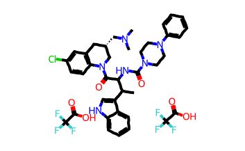 CC(c1c[nH]c2ccccc12)C(NC(=O)N1CCN(c2ccccc2)CC1)C(=O)N1C[C@@H](CN(C)C)Cc2cc(Cl)ccc21.O=C(O)C(F)(F)F.O=C(O)C(F)(F)F